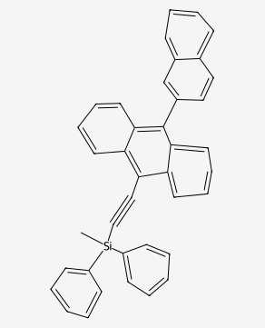 C[Si](C#Cc1c2ccccc2c(-c2ccc3ccccc3c2)c2ccccc12)(c1ccccc1)c1ccccc1